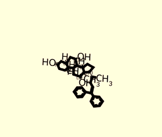 CC(CC=C(c1ccccc1)c1ccccc1)[C@H]1CC[C@H]2[C@@H]3[C@H](O)C[C@@H]4C[C@H](O)CC[C@]4(C)[C@H]3C[C@H](O)[C@]12C